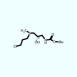 CN(CCCCl)C[C@@H](O)CNC(=O)OC(C)(C)C